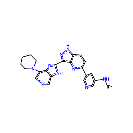 CC(C)Nc1cncc(-c2ccc3[nH]nc(-c4nc5c(N6CCCCC6)cncc5[nH]4)c3n2)c1